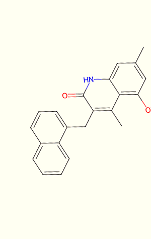 Cc1cc(O)c2c(C)c(Cc3cccc4ccccc34)c(=O)[nH]c2c1